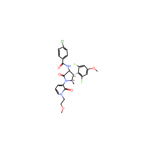 COCCn1cccc(N2C(=O)C(NC(=O)c3ccc(Cl)cc3)[C@H](c3c(F)cc(OC)cc3F)[C@H]2C)c1=O